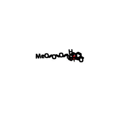 COCCOCCOCCN1CC[C@]23CC(=O)CC[C@H]2[C@H]1Cc1ccc(C)cc13